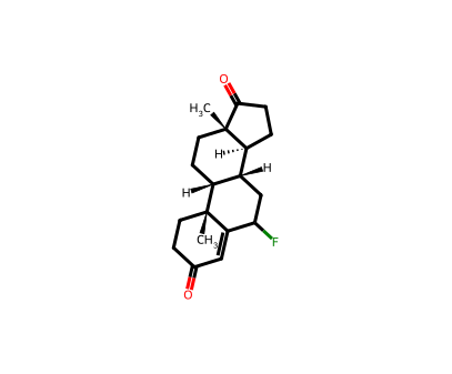 C[C@]12CCC(=O)C=C1C(F)C[C@@H]1[C@H]2CC[C@]2(C)C(=O)CC[C@@H]12